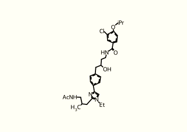 CCn1cc(-c2ccc(CC(O)CCNC(=O)c3ccc(OC(C)C)c(Cl)c3)cc2)nc1CC(C)CNC(C)=O